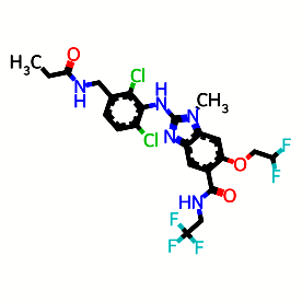 CCC(=O)NCc1ccc(Cl)c(Nc2nc3cc(C(=O)NCC(F)(F)F)c(OCC(F)F)cc3n2C)c1Cl